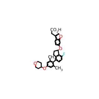 Cc1cc(OC2CCOCC2)cc(C)c1-c1ccc(F)c2c1CC[C@H]2Oc1ccc2c(CC(=O)O)coc2c1